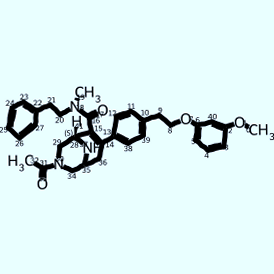 COc1cccc(OCCc2ccc(C3=C(C(=O)N(C)CCc4ccccc4)[C@H]4CN(C(C)=O)CC(C3)N4)cc2)c1